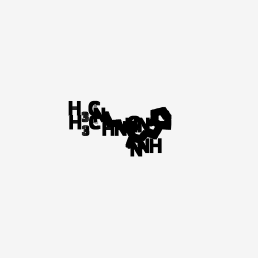 CN(C)CCCNC(=O)c1cn[nH]c1-c1cc2ccccc2[nH]1